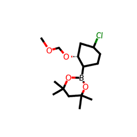 COCO[C@@H]1CC(Cl)CCC1B1OC(C)(C)CC(C)(C)O1